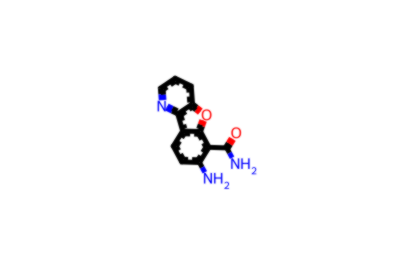 NC(=O)c1c(N)ccc2c1oc1cccnc12